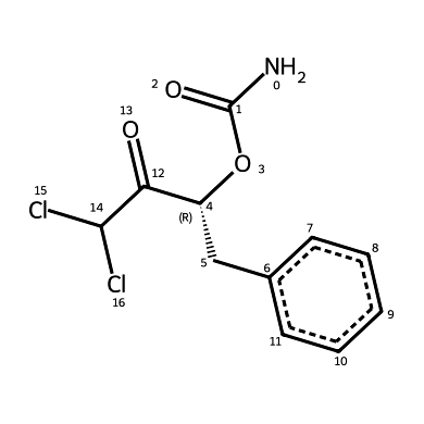 NC(=O)O[C@H](Cc1ccccc1)C(=O)C(Cl)Cl